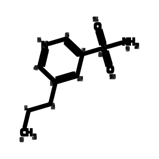 CC[CH]c1cncc(S(N)(=O)=O)c1